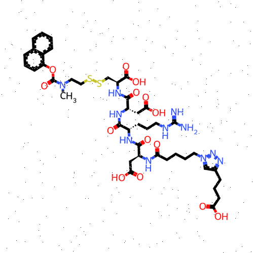 CN(CCSSC[C@H](NC(=O)[C@H](CC(=O)O)NC(=O)[C@H](CCCNC(=N)N)NC(=O)[C@H](CC(=O)O)NC(=O)CCCCn1cc(CCCC(=O)O)nn1)C(=O)O)C(=O)Oc1cccc2ccccc12